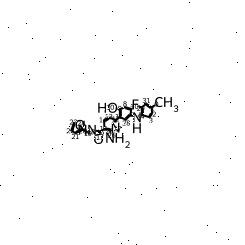 Cc1ccc(Nc2ccc(O)c(-c3ccc(C(=O)NCc4ccco4)c(N)n3)c2)c(F)c1